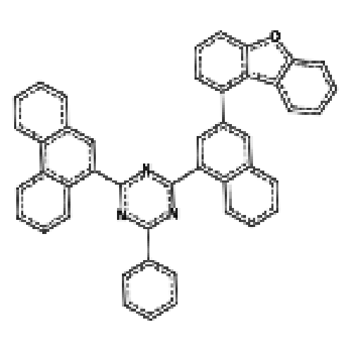 c1ccc(-c2nc(-c3cc(-c4cccc5oc6ccccc6c45)cc4ccccc34)nc(-c3cc4ccccc4c4ccccc34)n2)cc1